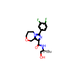 CC(C)(C)[C@@H](CO)NC(=O)c1nc(-c2ccc(F)c(F)c2)n2c1COCCC2